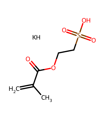 C=C(C)C(=O)OCCS(=O)(=O)O.[KH]